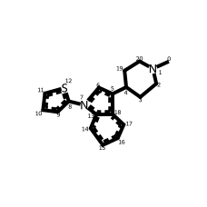 CN1CCC(c2cn(-c3cccs3)c3ccccc23)CC1